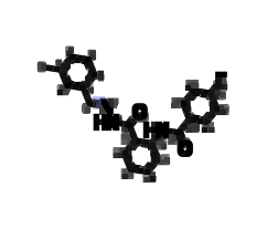 Cc1cccc(/C=N/NC(=O)c2ccccc2NC(=O)c2ccc(F)cc2)c1